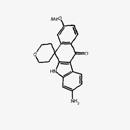 COc1ccc2c(c1)C1(CCOCC1)c1[nH]c3cc(N)ccc3c1C2=O